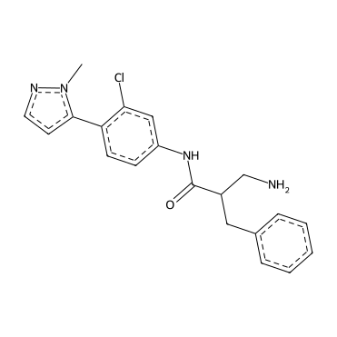 Cn1nccc1-c1ccc(NC(=O)C(CN)Cc2ccccc2)cc1Cl